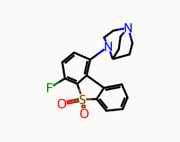 O=S1(=O)c2ccccc2-c2c(N3CCN4CCC3CC4)ccc(F)c21